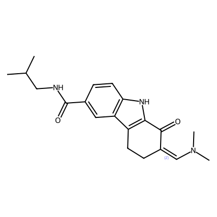 CC(C)CNC(=O)c1ccc2[nH]c3c(c2c1)CC/C(=C/N(C)C)C3=O